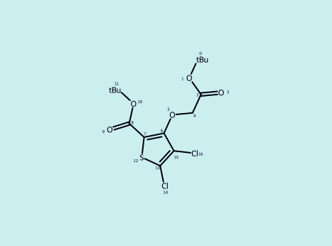 CC(C)(C)OC(=O)COc1c(C(=O)OC(C)(C)C)sc(Cl)c1Cl